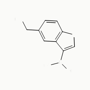 CCc1ccc2scc(B(O)O)c2c1